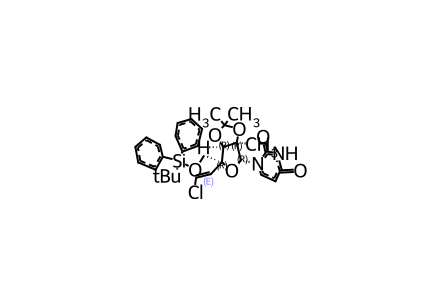 CC1(C)O[C@H]2[C@@](C)(O1)[C@H](n1ccc(=O)[nH]c1=O)O[C@]2(/C=C/Cl)CO[Si](c1ccccc1)(c1ccccc1)C(C)(C)C